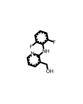 OCc1cccnc1Nc1c(F)cccc1F